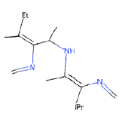 C=N/C(=C(/C)NC(C)/C(N=C)=C(/C)CC)C(C)C